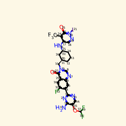 Nc1nc(-c2cc3ncn(C[C@@H]4CCC[C@H](Nc5cnn(I)c(=O)c5C(F)(F)F)C4)c(=O)c3cc2F)ncc1OC(F)F